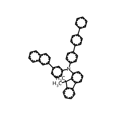 CC1(C)c2ccccc2-c2cccc(N(c3ccc(-c4ccc(-c5ccccc5)cc4)cc3)c3cccc(-c4ccc5ccccc5c4)c3)c21